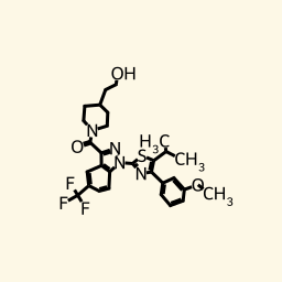 COc1cccc(-c2nc(-n3nc(C(=O)N4CCC(CCO)CC4)c4cc(C(F)(F)F)ccc43)sc2C(C)C)c1